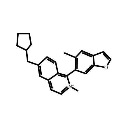 Cc1cc2ccoc2cc1-c1c2ccc(CC3CCCC3)cc2cc[n+]1C